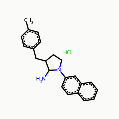 Cc1ccc(CC2CCN(c3ccc4ccccc4c3)C2N)cc1.Cl